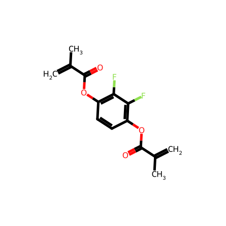 C=C(C)C(=O)Oc1ccc(OC(=O)C(=C)C)c(F)c1F